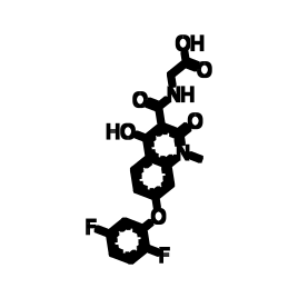 Cn1c(=O)c(C(=O)NCC(=O)O)c(O)c2ccc(Oc3cc(F)ccc3F)cc21